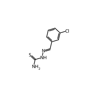 NC(=S)N/N=C/c1cccc(Cl)c1